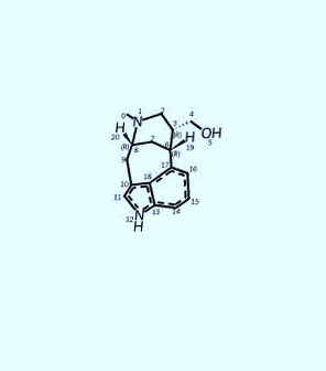 CN1C[C@H](CO)[C@H]2C[C@@H]1Cc1c[nH]c3cccc2c13